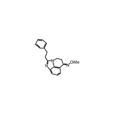 CON=C1CCn2c(CCc3ccccc3)nc3cccc1c32